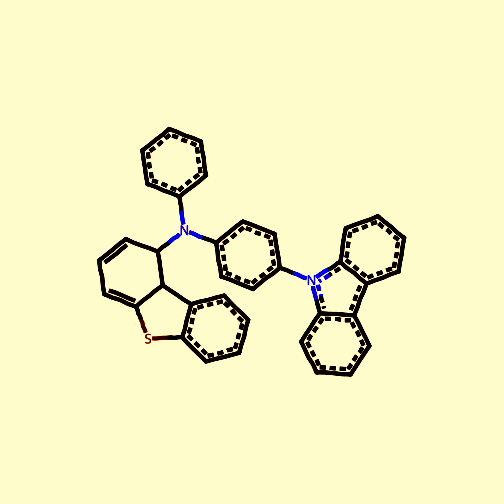 C1=CC(N(c2ccccc2)c2ccc(-n3c4ccccc4c4ccccc43)cc2)C2C(=C1)Sc1ccccc12